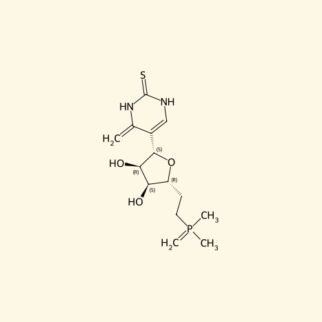 C=C1NC(=S)NC=C1[C@@H]1O[C@H](CCP(=C)(C)C)[C@@H](O)[C@H]1O